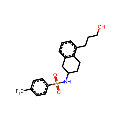 O=S(=O)(NC1CCc2c(CCCO)cccc2C1)c1ccc(C(F)(F)F)cc1